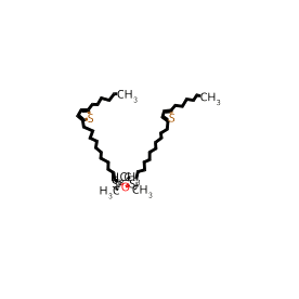 CCCCCCc1ccc(CCCCCCCCCCC[Si](C)(C)O[Si](C)(C)CCCCCCCCCCCc2ccc(CCCCCC)s2)s1